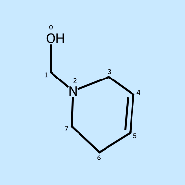 OCN1CC=CCC1